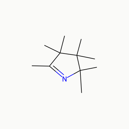 CC1=NC(C)(C)C(C)(C)C1(C)C